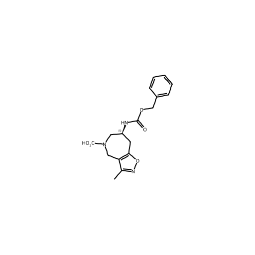 Cc1noc2c1CN(C(=O)O)C[C@@H](NC(=O)OCc1ccccc1)C2